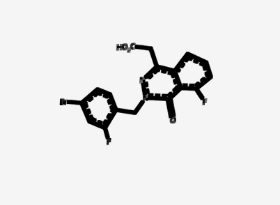 O=C(O)Cc1nn(Cc2ccc(Br)cc2F)c(=O)c2c(F)cccc12